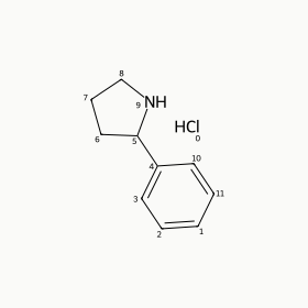 Cl.c1ccc(C2CCCN2)cc1